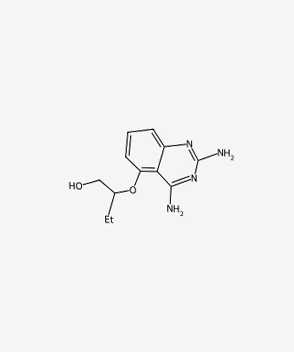 CCC(CO)Oc1cccc2nc(N)nc(N)c12